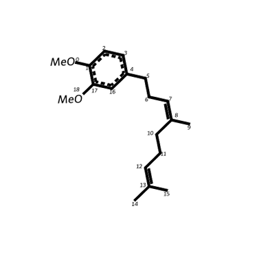 COc1ccc(CCC=C(C)CCC=C(C)C)cc1OC